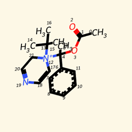 CC(=O)OC(C)(c1ccccc1)[N+]1(C(C)(C)C)C=CN=CC1